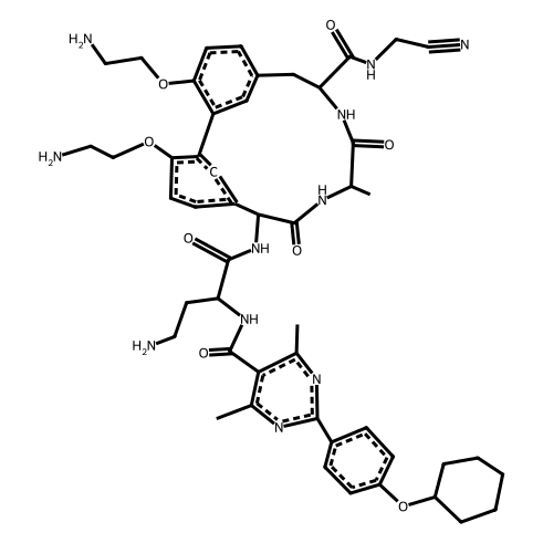 Cc1nc(-c2ccc(OC3CCCCC3)cc2)nc(C)c1C(=O)NC(CCN)C(=O)NC1C(=O)NC(C)C(=O)NC(C(=O)NCC#N)Cc2ccc(OCCN)c(c2)-c2cc1ccc2OCCN